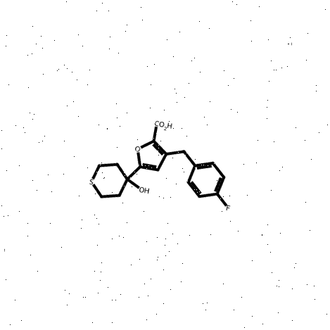 O=C(O)c1oc(C2(O)CCSCC2)cc1Cc1ccc(F)cc1